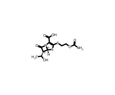 CC(O)[C@H]1C(=O)N2C(C(=O)O)=C(SCCOC(N)=O)S[C@H]12